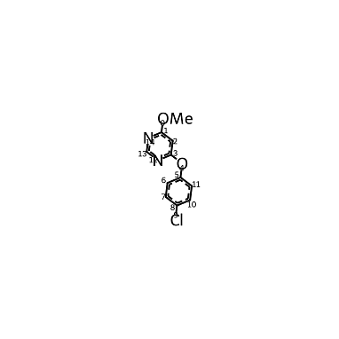 COc1cc(Oc2ccc(Cl)cc2)ncn1